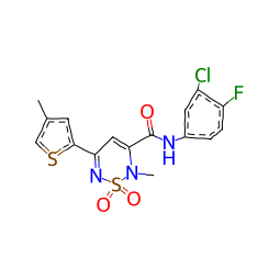 Cc1csc(C2=NS(=O)(=O)N(C)C(C(=O)Nc3ccc(F)c(Cl)c3)=C2)c1